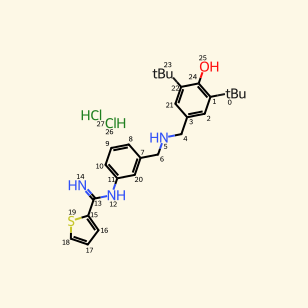 CC(C)(C)c1cc(CNCc2cccc(NC(=N)c3cccs3)c2)cc(C(C)(C)C)c1O.Cl.Cl